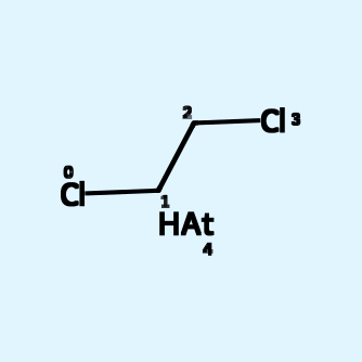 ClCCCl.[AtH]